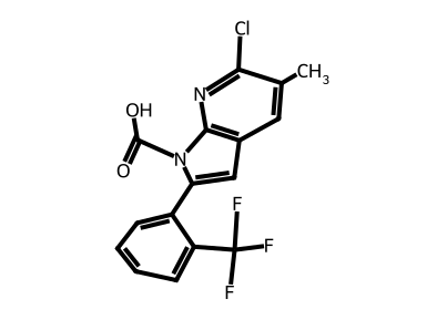 Cc1cc2cc(-c3ccccc3C(F)(F)F)n(C(=O)O)c2nc1Cl